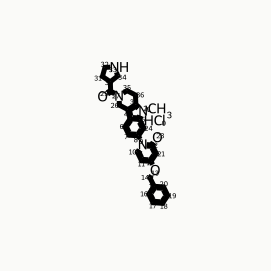 Cl.Cn1c2c(c3ccc(-n4ccc(OCc5ccccc5)cc4=O)cc31)CN(C(=O)C1CCNC1)CC2